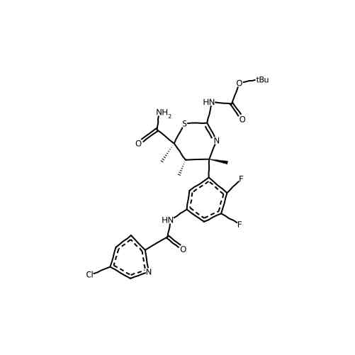 C[C@@H]1[C@@](C)(C(N)=O)SC(NC(=O)OC(C)(C)C)=N[C@]1(C)c1cc(NC(=O)c2ccc(Cl)cn2)cc(F)c1F